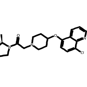 C[C@@H]1CCCN1C(=O)CN1CCC(Oc2ccc(Cl)c3ncccc23)CC1